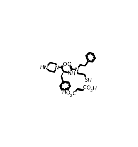 O=C(N[C@@H](Cc1ccccc1)C(=O)N1CCNCC1)N(CCS)CCc1ccccc1.O=C(O)/C=C/C(=O)O